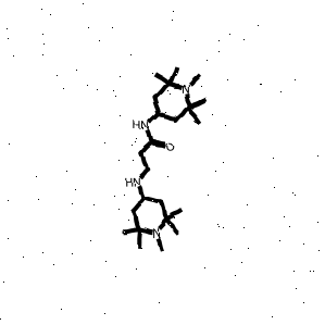 CN1C(C)(C)CC(NCCC(=O)NC2CC(C)(C)N(C)C(C)(C)C2)CC1(C)C